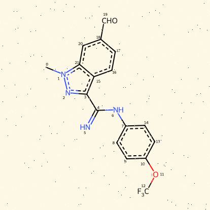 Cn1nc(C(=N)Nc2ccc(OC(F)(F)F)cc2)c2ccc(C=O)cc21